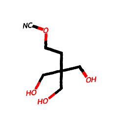 N#COCCC(CO)(CO)CO